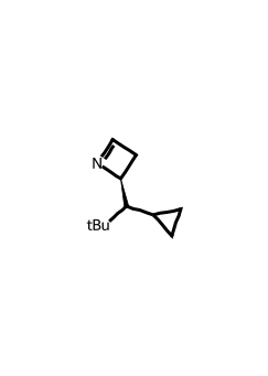 CC(C)(C)C(C1CC1)[C@@H]1CC=N1